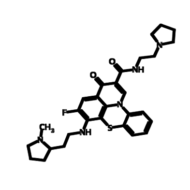 CN1CCCC1CCNc1c(F)cc2c(=O)c(C(=O)NCCN3CCCC3)cn3c2c1Sc1ccccc1-3